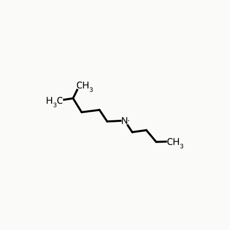 CCCC[N]CCCC(C)C